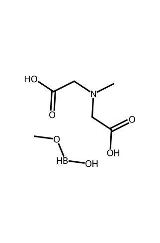 CN(CC(=O)O)CC(=O)O.COBO